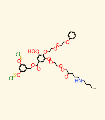 CCCCCNCCCC(=O)COOCCOOc1cc(C(=O)OCc2cc(OSCl)cc(OSCl)c2)cc(OO)c1OCCOOCCOc1ccccc1